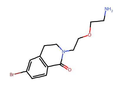 NCCOCCN1CCc2cc(Br)ccc2C1=O